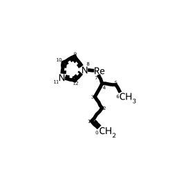 C=CCC[CH](CC)[Re][n]1ccnc1